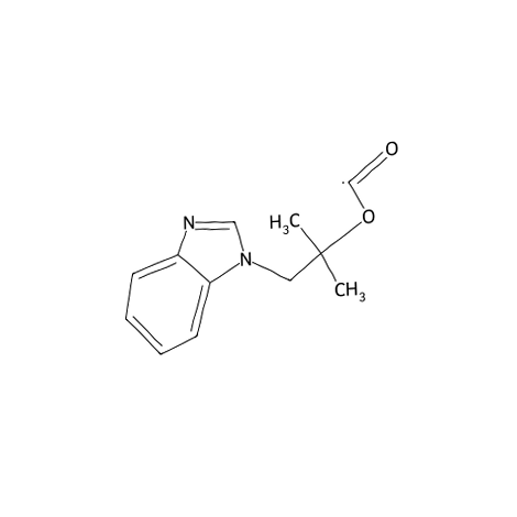 CC(C)(Cn1cnc2ccccc21)O[C]=O